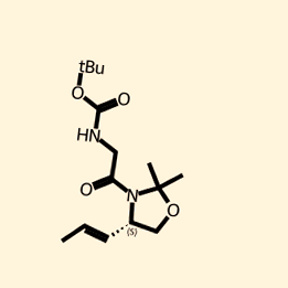 CC=C[C@H]1COC(C)(C)N1C(=O)CNC(=O)OC(C)(C)C